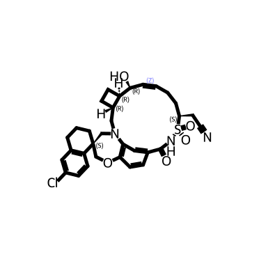 N#CC[C@@H]1CC/C=C\[C@H](O)[C@@H]2CC[C@H]2CN2C[C@@]3(CCCc4cc(Cl)ccc43)COc3ccc(cc32)C(=O)NS1(=O)=O